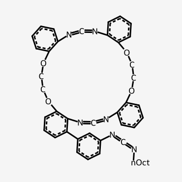 CCCCCCCCN=C=Nc1cccc(-c2cccc3c2N=C=Nc2ccccc2OCCOc2ccccc2N=C=Nc2ccccc2OCCO3)c1